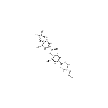 CCCC1CCC(c2ccc(CC(O)c3ccc(OC(F)(F)F)c(F)c3)c(F)c2)CC1